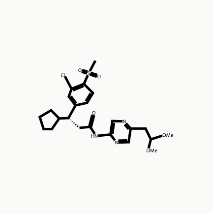 COC(Cc1cnc(NC(=O)C[C@@H](c2ccc(S(C)(=O)=O)c(Cl)c2)C2CCCC2)cn1)OC